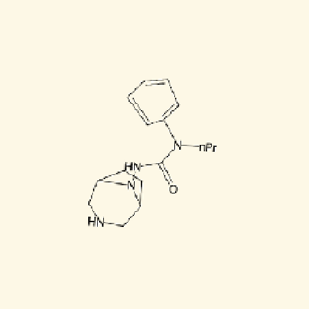 CCCN(C(=O)NN1C2CCC1CNC2)c1ccccc1